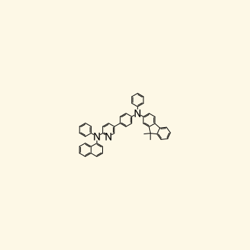 CC1(C)c2ccccc2-c2ccc(N(c3ccccc3)c3ccc(-c4ccc(N(c5ccccc5)c5cccc6ccccc56)nc4)cc3)cc21